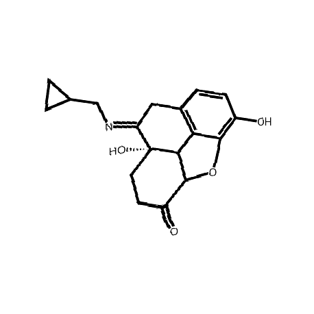 O=C1CC[C@@]2(O)/C(=N/CC3CC3)Cc3ccc(O)c4c3C2C1O4